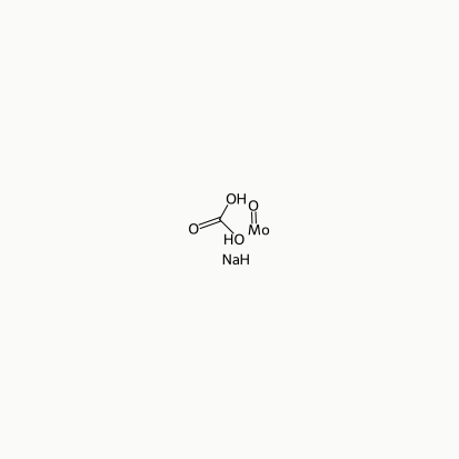 O=C(O)O.[NaH].[O]=[Mo]